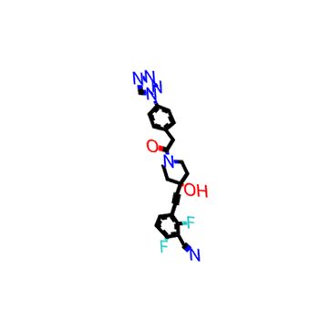 N#Cc1c(F)ccc(C#CC2(O)CCN(C(=O)Cc3ccc(-n4cnnn4)cc3)CC2)c1F